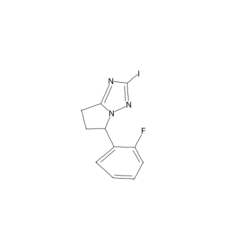 Fc1ccccc1C1CCc2nc(I)nn21